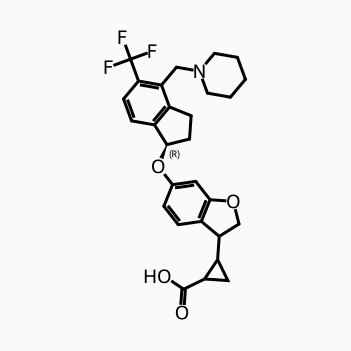 O=C(O)C1CC1C1COc2cc(O[C@@H]3CCc4c3ccc(C(F)(F)F)c4CN3CCCCC3)ccc21